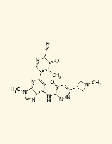 CC1=C(c2cc(NC3N=NC(C4CN(C)C4)=CC3=O)c3ncn(C)c3n2)C=NC(C#N)C1=O